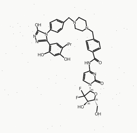 CC(C)c1cc(-c2nnc(O)n2-c2ccc(CN3CCN(Cc4ccc(C(=O)Nc5ccn([C@@H]6O[C@H](CO)[C@@H](O)C6(F)F)c(=O)n5)cc4)CC3)cc2)c(O)cc1O